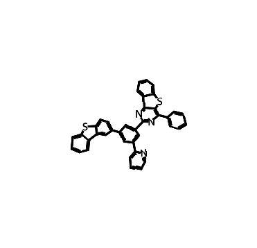 c1ccc(-c2nc(-c3cc(-c4ccc5sc6ccccc6c5c4)cc(-c4ccccn4)c3)nc3c2sc2ccccc23)cc1